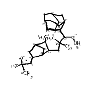 CC1C2CC(CC(C)(C(F)(F)F)C(F)(F)F)C(C2)C1CC(C)(C(OO)C1C2CC3CC(C2)CC1C3)C(F)(F)F